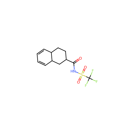 O=C(NS(=O)(=O)C(F)(F)F)C1CCC2C=CC=CC2C1